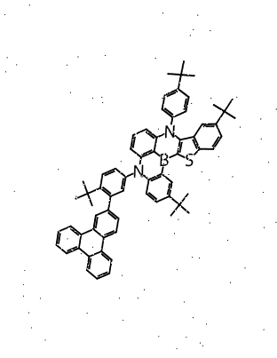 CC(C)(C)c1ccc(N2c3cccc4c3B(c3cc(C(C)(C)C)ccc3N4c3ccc(C(C)(C)C)c(-c4ccc5c6ccccc6c6ccccc6c5c4)c3)c3sc4ccc(C(C)(C)C)cc4c32)cc1